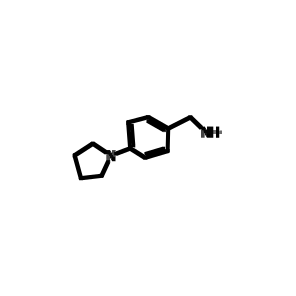 [NH]Cc1ccc(N2CCCC2)cc1